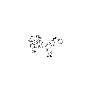 CC(=O)O[C@@H](CC(=O)O[C@H](C(=O)O)c1ccccc1)C(=O)OC1=CC[C@@]2(O)[C@@H](C)N(C)CC[C@@]23c2c(C)ccc(O)c2O[C@@H]13